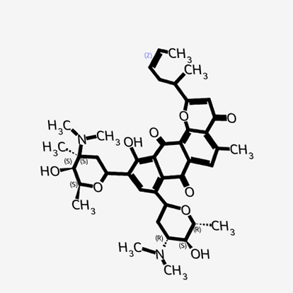 C/C=C\CC(C)c1cc(=O)c2c(C)cc3c(c2o1)C(=O)c1c(O)c(C2C[C@](C)(N(C)C)[C@H](O)[C@H](C)O2)cc(C2C[C@@H](N(C)C)[C@H](O)[C@@H](C)O2)c1C3=O